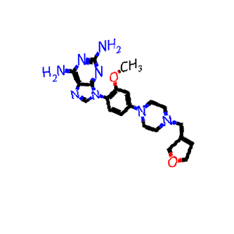 COc1cc(N2CCN(CC3CCOC3)CC2)ccc1-n1cnc2c(N)nc(N)nc21